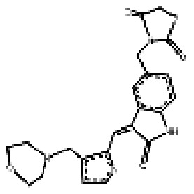 O=C1Nc2ccc(CN3C(=O)CSC3=O)cc2C1=Cc1[nH]ccc1CN1CCOCC1